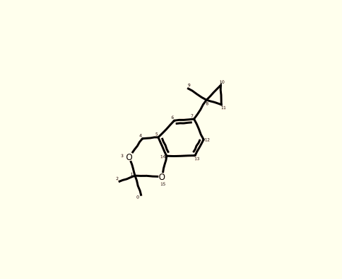 CC1(C)OCc2cc(C3(C)CC3)ccc2O1